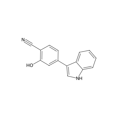 N#Cc1ccc(-c2c[nH]c3ccccc23)cc1O